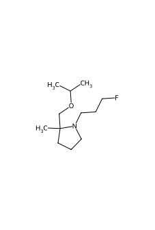 CC(C)OCC1(C)CCCN1CCCF